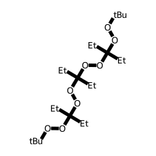 CCC(CC)(OOC(C)(C)C)OOC(CC)(CC)OOC(CC)(CC)OOC(C)(C)C